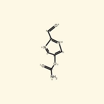 NC(=O)Oc1cnc(C=O)nc1